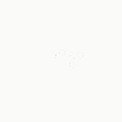 O=C(O)CCNC(=O)c1ccc(CN(Cc2ccccc2Cl)C(=O)Nc2ccc(OC(F)(F)F)cc2)cc1